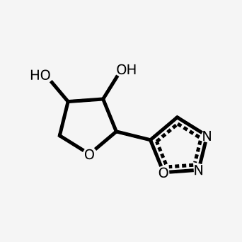 OC1COC(c2cnno2)C1O